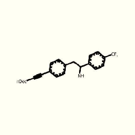 CCCCCCCCCCC#Cc1ccc(CC([NH])c2ccc(C(F)(F)F)cc2)cc1